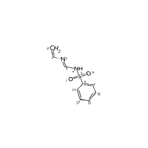 C=C/N=C/NS(=O)(=O)c1ccccc1